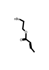 [CH2]CCCCCOC(=O)/C=C/C